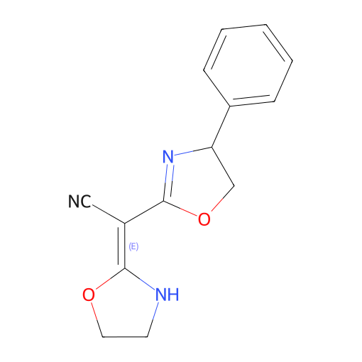 N#C/C(C1=NC(c2ccccc2)CO1)=C1/NCCO1